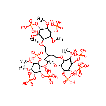 CO[C@@H]1[C@@H](OP(=O)(O)O)[C@H](OC)[C@H](OCCC(CCOC2[C@@H](OC)[C@H](OP(=O)(O)O)[C@@H](OP(=O)(O)O)[C@H](OP(=O)(O)O)[C@H]2OC)CCO[C@H]2[C@@H](OP(=O)(O)O)[C@H](OC)[C@@H](OC)[C@H](OP(=O)(O)O)[C@H]2OP(=O)(O)O)[C@H](OC)[C@H]1OP(=O)(O)O